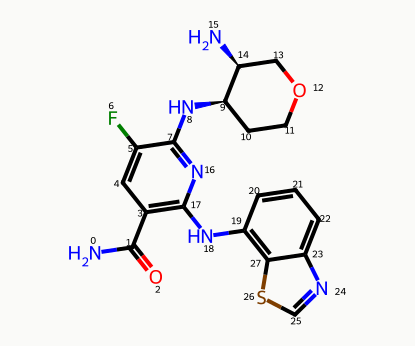 NC(=O)c1cc(F)c(N[C@@H]2CCOC[C@@H]2N)nc1Nc1cccc2ncsc12